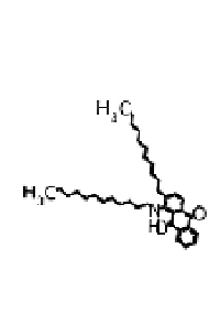 CCCCCCCCCCCCNc1c(CCCCCCCCCCC)ccc2c1C(=O)c1ccccc1C2=O